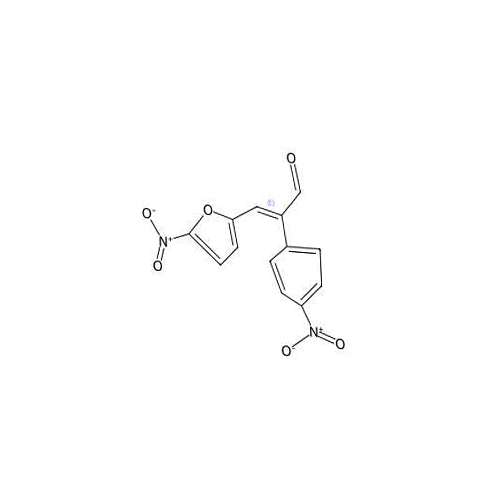 O=C/C(=C/c1ccc([N+](=O)[O-])o1)c1ccc([N+](=O)[O-])cc1